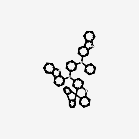 c1ccc(N(c2cccc(N(c3ccc4c(c3)C3(c5ccccc5O4)c4ccccc4-c4ccccc43)c3cccc4c3oc3ccccc34)c2)c2ccc3c(c2)oc2ccccc23)cc1